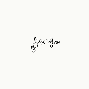 Cn1cc(Br)c(OC2(C)CCC(NC(=O)O)CC2)cc1=O